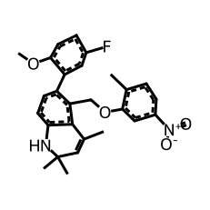 COc1ccc(F)cc1-c1ccc2c(c1COc1cc([N+](=O)[O-])ccc1C)C(C)=CC(C)(C)N2